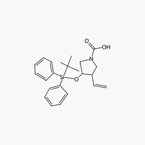 C=CC1CN(C(=O)O)CC1O[Si](c1ccccc1)(c1ccccc1)C(C)(C)C